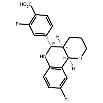 CCc1ccc2c(c1)[C@@H]1OCCC[C@@H]1[C@@H](c1ccc(C(=O)O)c(F)c1)N2